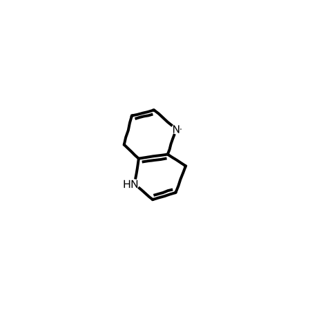 C1=CNC2=C(C1)[N]C=CC2